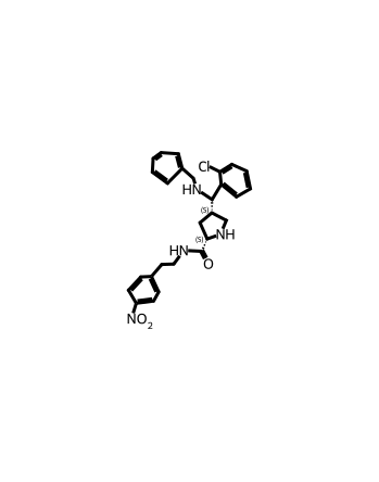 O=C(NCCc1ccc([N+](=O)[O-])cc1)[C@@H]1C[C@H](C(NCc2ccccc2)c2ccccc2Cl)CN1